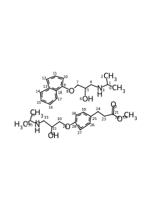 CC(C)NCC(O)COc1cccc2ccccc12.COC(=O)CCc1ccc(OCC(O)CNC(C)C)cc1